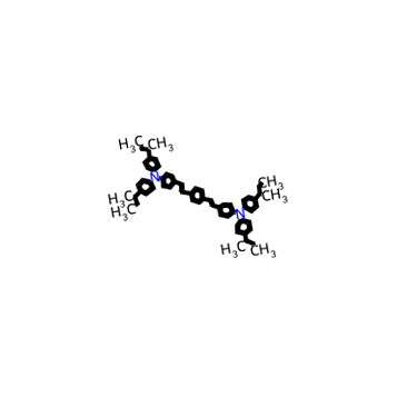 CCC(C)c1ccc(N(c2ccc(/C=C/c3ccc(/C=C/c4ccc(N(c5ccc(C(C)CC)cc5)c5ccc(C(C)CC)cc5)cc4)cc3)cc2)c2ccc(C(C)CC)cc2)cc1